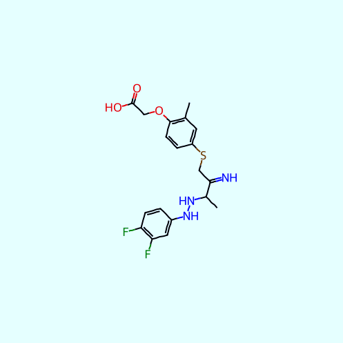 Cc1cc(SCC(=N)C(C)NNc2ccc(F)c(F)c2)ccc1OCC(=O)O